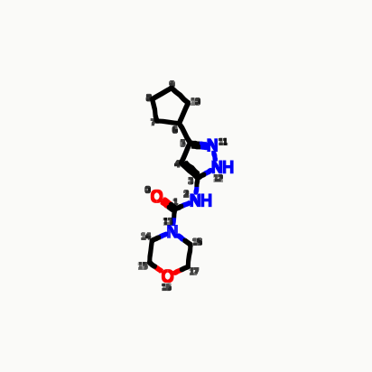 O=C(Nc1cc(C2CCCC2)n[nH]1)N1CCOCC1